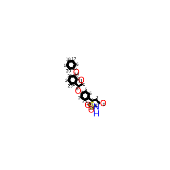 O=C1CC(c2ccc(O[C@@H]3COc4c(Oc5ccccc5)cccc43)cc2)S(=O)(=O)N1